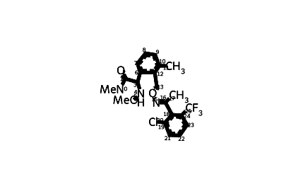 CNC(=O)C(NOC)c1cccc(C)c1CO/N=C(\C)c1c(Cl)cccc1C(F)(F)F